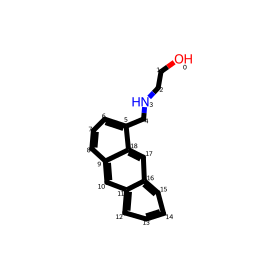 OCCNCc1cccc2cc3ccccc3cc12